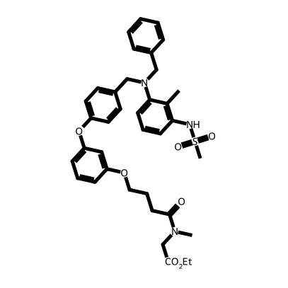 CCOC(=O)CN(C)C(=O)CCCOc1cccc(Oc2ccc(CN(Cc3ccccc3)c3cccc(NS(C)(=O)=O)c3C)cc2)c1